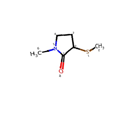 CSC1CCN(C)C1=O